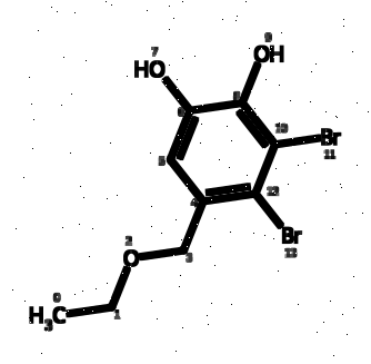 CCOCc1cc(O)c(O)c(Br)c1Br